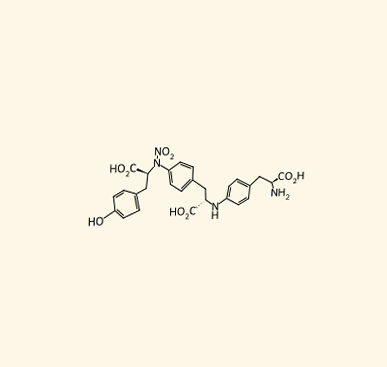 N[C@@H](Cc1ccc(N[C@@H](Cc2ccc(N([C@@H](Cc3ccc(O)cc3)C(=O)O)[N+](=O)[O-])cc2)C(=O)O)cc1)C(=O)O